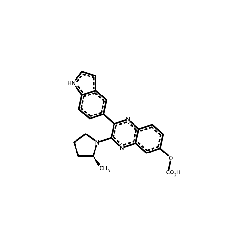 C[C@H]1CCCN1c1nc2cc(OC(=O)O)ccc2nc1-c1ccc2[nH]ccc2c1